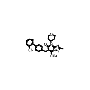 CCCCc1c(Cc2ccc(-c3ccccc3C#N)cc2)c(=O)n(C2CCOCC2)c2nc(C)nn12